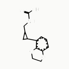 CC(=O)NCC1CC1c1cccc2c1OCCO2